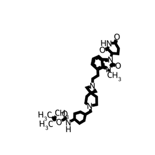 Cn1c(=O)n(C2CCC(=O)NC2=O)c2cccc(CCN3CC4(CCN(CC5CCC(NC(=O)OC(C)(C)C)CC5)CC4)C3)c21